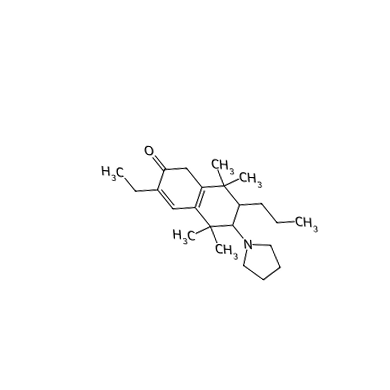 CCCC1C(N2CCCC2)C(C)(C)C2=C(CC(=O)C(CC)=C2)C1(C)C